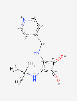 CC(C)(C)Nc1c(NCc2ccncc2)c(=O)c1=O